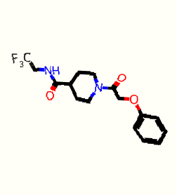 O=C(NCC(F)(F)F)C1CCN(C(=O)COc2ccccc2)CC1